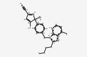 CCCCc1nc2c(C)ccnc2n1Cc1ccc(C2(Br)N=C(C#N)C=C2I)cc1